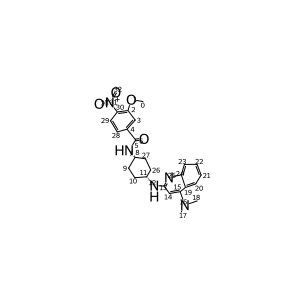 COc1cc(C(=O)N[C@H]2CC[C@@H](Nc3cc(N(C)C)c4ccccc4n3)CC2)ccc1[N+](=O)[O-]